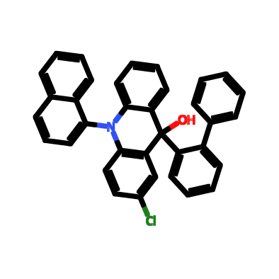 OC1(c2ccccc2-c2ccccc2)c2ccccc2N(c2cccc3ccccc23)c2ccc(Cl)cc21